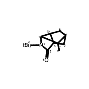 CC1C2CC3C(=O)N(C(C)(C)C)C1C3C2